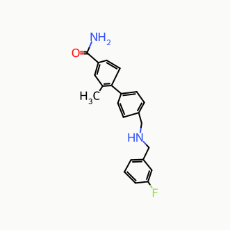 Cc1cc(C(N)=O)ccc1-c1ccc(CNCc2cccc(F)c2)cc1